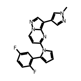 Cn1cc(-c2cnn3ccc(-n4cccc4-c4cc(F)ccc4F)nc23)cn1